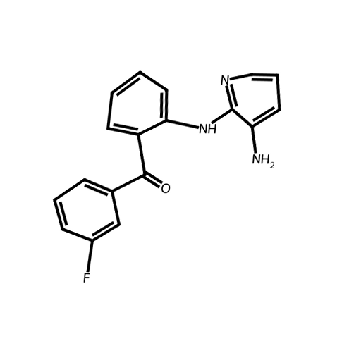 Nc1cccnc1Nc1ccccc1C(=O)c1cccc(F)c1